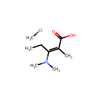 CC/C(=C(/C)C(=O)O)N(C)C.CCl